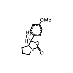 COc1ccc([C@@]2(C)OC(=O)N3CCC[C@H]32)cc1